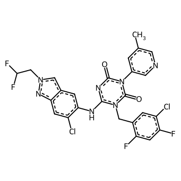 Cc1cncc(-n2c(=O)nc(Nc3cc4cn(CC(F)F)nc4cc3Cl)n(Cc3cc(Cl)c(F)cc3F)c2=O)c1